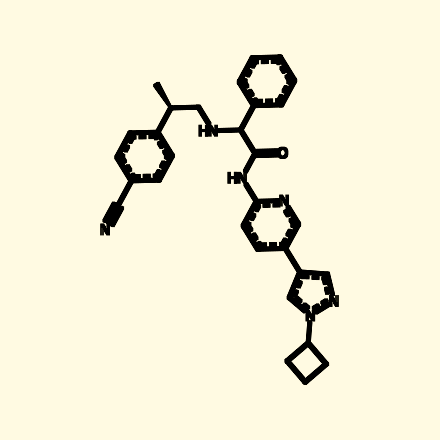 C[C@@H](CNC(C(=O)Nc1ccc(-c2cnn(C3CCC3)c2)cn1)c1ccccc1)c1ccc(C#N)cc1